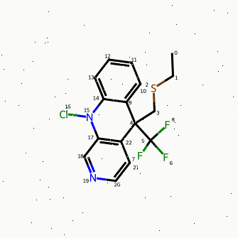 CCSCC1(C(F)(F)F)c2ccccc2N(Cl)c2cnccc21